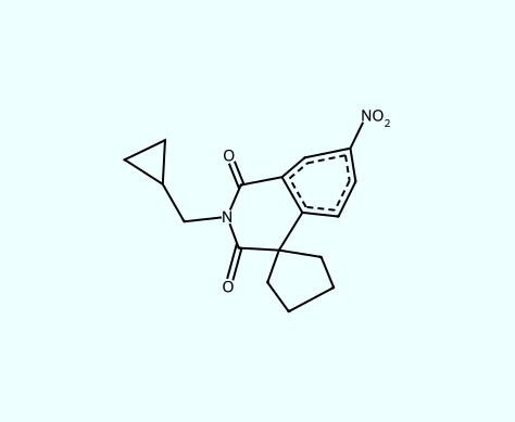 O=C1c2cc([N+](=O)[O-])ccc2C2(CCCC2)C(=O)N1CC1CC1